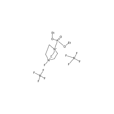 CCOP(=O)(OCC)[N+]12CC[N+](F)(CC1)CC2.F[B-](F)(F)F.F[B-](F)(F)F